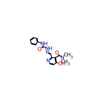 CN(C)C(=O)c1c(O)ccnc1C=NNC(=O)Nc1ccccc1